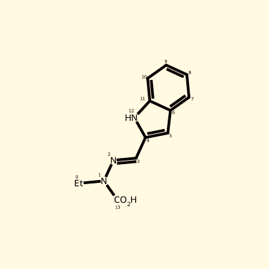 CCN(N=Cc1cc2ccccc2[nH]1)C(=O)O